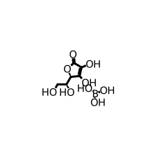 O=C1O[C@H]([C@@H](O)CO)C(O)=C1O.OB(O)O